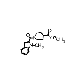 CCOC(=O)C1CCN(C(=O)c2cc3ccccc3n2C)CC1